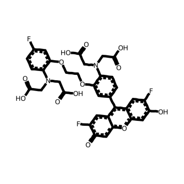 O=C(O)CN(CC(=O)O)c1ccc(F)cc1OCCOc1cc(-c2c3cc(F)c(=O)cc-3oc3cc(O)c(F)cc23)ccc1N(CC(=O)O)CC(=O)O